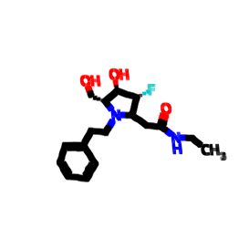 CCNC(=O)CC1[C@@H](F)[C@H](O)[C@@H](CO)N1CCc1ccccc1